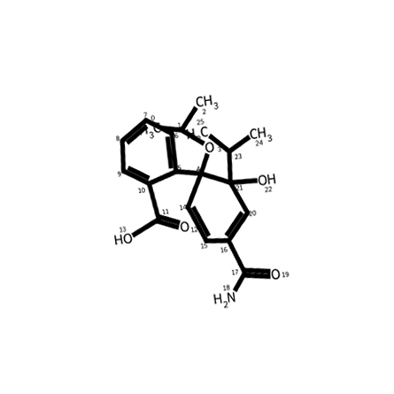 CC(C)OC1(c2ccccc2C(=O)O)C=CC(C(N)=O)=CC1(O)C(C)C